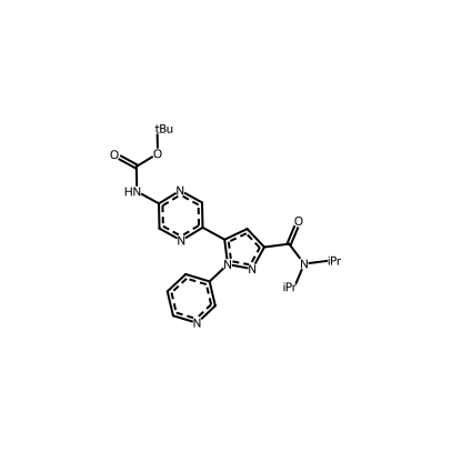 CC(C)N(C(=O)c1cc(-c2cnc(NC(=O)OC(C)(C)C)cn2)n(-c2cccnc2)n1)C(C)C